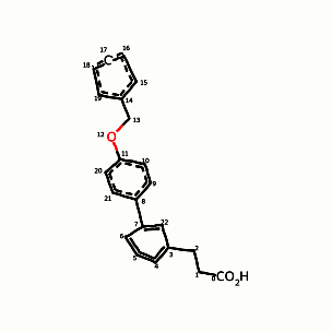 O=C(O)CCC1=C=C=CC(c2ccc(OCc3ccccc3)cc2)=C1